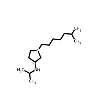 CC(C)CCCCCN1CC[C@H](NC(C)C)C1